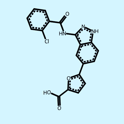 O=C(O)c1ccc(-c2ccc3[nH]nc(NC(=O)c4ccccc4Cl)c3c2)o1